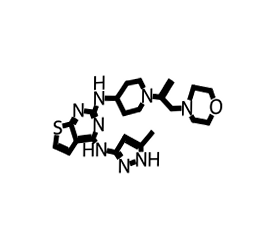 C=C(CN1CCOCC1)N1CCC(Nc2nc(Nc3cc(C)[nH]n3)c3ccsc3n2)CC1